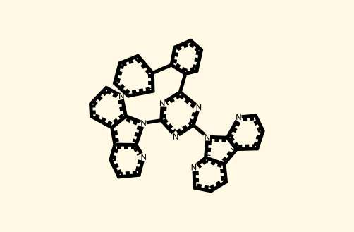 c1ccc(-c2ccccc2-c2nc(-n3c4ncccc4c4cccnc43)nc(-n3c4ncccc4c4cccnc43)n2)cc1